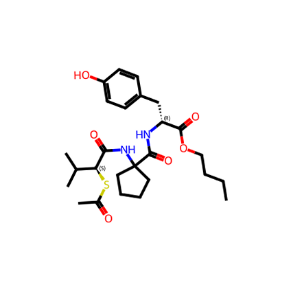 CCCCOC(=O)[C@@H](Cc1ccc(O)cc1)NC(=O)C1(NC(=O)[C@@H](SC(C)=O)C(C)C)CCCC1